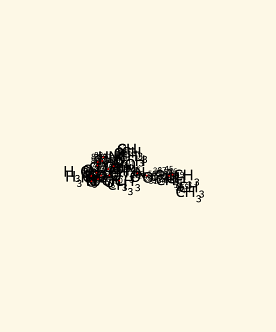 CCC(=O)[C@H](OC)C1=C(C)[C@@H](OC(=O)[C@H](OC(=O)CCC(=O)NCC(=O)NCCO[C@H]2CC[C@@]3(C)C(=CCC4C3CC[C@@]3(C)C4CC[C@@H]3[C@H](C)CCCC(C)C)C2)[C@@H](NC(=O)OC(C)(C)C)c2ccccc2)C[C@@](O)([C@@H](OC(=O)c2ccccc2)[C@H]2C[C@@H](OC)C[C@H]3OC[C@@]23OC(C)=O)C1(C)C